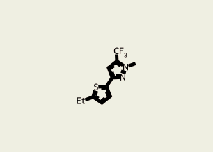 CCc1ccc(-c2cc(C(F)(F)F)n(C)n2)s1